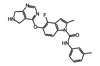 Cc1cccc(NC(=O)n2c(C)cc3c(F)c(Oc4ncnc5c4CNC5)ccc32)c1